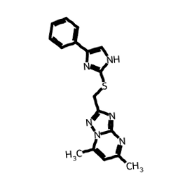 Cc1cc(C)n2nc(CSc3nc(-c4ccccc4)c[nH]3)nc2n1